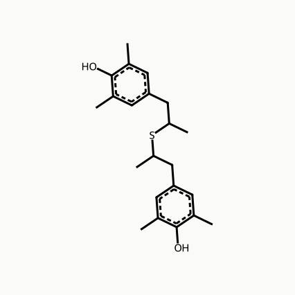 Cc1cc(CC(C)SC(C)Cc2cc(C)c(O)c(C)c2)cc(C)c1O